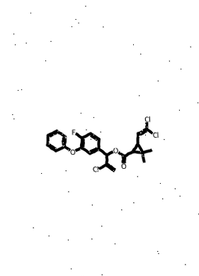 C=C(Cl)C(OC(=O)C1C(C=C(Cl)Cl)C1(C)C)c1ccc(F)c(Oc2ccccc2)c1